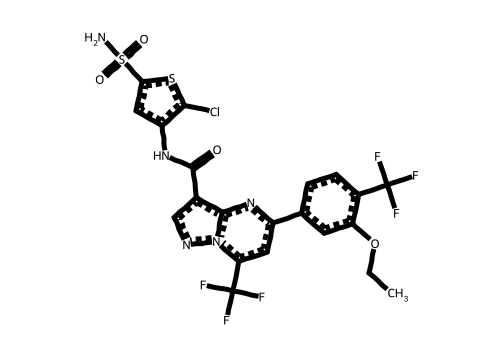 CCOc1cc(-c2cc(C(F)(F)F)n3ncc(C(=O)Nc4cc(S(N)(=O)=O)sc4Cl)c3n2)ccc1C(F)(F)F